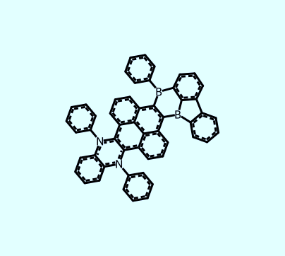 c1ccc(B2c3cccc4c3B(c3ccccc3-4)c3c2c2cccc4c2c2c3cccc2c2c4n(-c3ccccc3)c3ccccc3n2-c2ccccc2)cc1